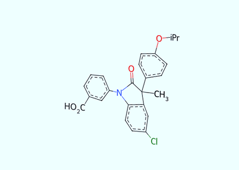 CC(C)Oc1ccc(C2(C)C(=O)N(c3cccc(C(=O)O)c3)c3ccc(Cl)cc32)cc1